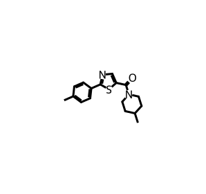 Cc1ccc(-c2ncc(C(=O)N3CCC(C)CC3)s2)cc1